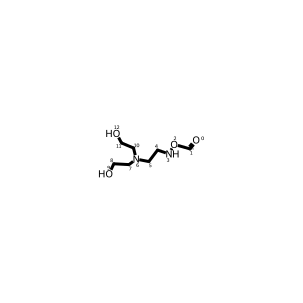 O=[C]ONCCN(CCO)CCO